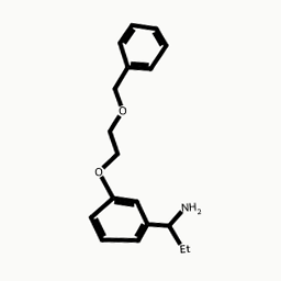 CCC(N)c1cccc(OCCOCc2ccccc2)c1